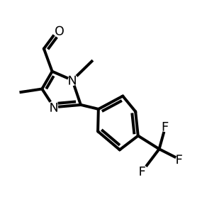 Cc1nc(-c2ccc(C(F)(F)F)cc2)n(C)c1C=O